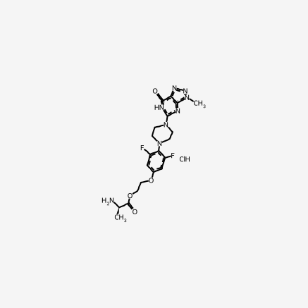 C[C@@H](N)C(=O)OCCOc1cc(F)c(N2CCN(c3nc4c(nnn4C)c(=O)[nH]3)CC2)c(F)c1.Cl